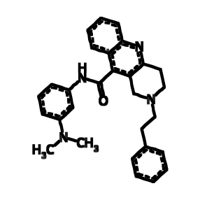 CN(C)c1cccc(NC(=O)c2c3c(nc4ccccc24)CCN(CCc2ccccc2)C3)c1